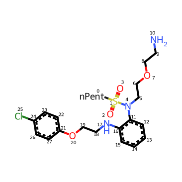 CCCCCS(=O)(=O)N(CCOCCN)c1ccccc1NCCOc1ccc(Cl)cc1